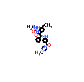 CCc1ccc2c(c1)N(C(=O)NC)C(=O)C2=C(Nc1ccc(C(=O)N2CCN(C)CC2)cc1)c1ccccc1